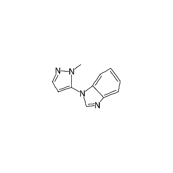 Cn1nccc1-n1cnc2ccccc21